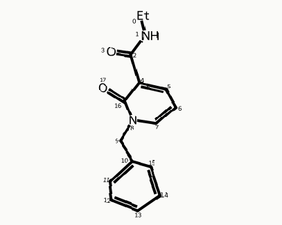 CCNC(=O)c1cccn(Cc2ccccc2)c1=O